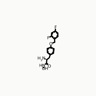 N[C@@H](Cc1ccc(OCc2ccc(F)cc2F)cc1)C(=O)NO